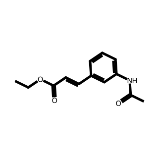 CCOC(=O)C=Cc1cccc(NC(C)=O)c1